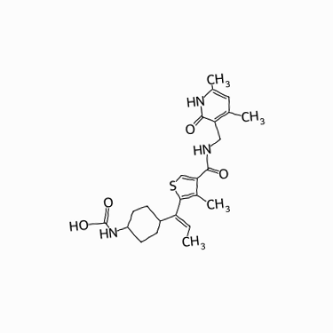 CC=C(c1scc(C(=O)NCc2c(C)cc(C)[nH]c2=O)c1C)C1CCC(NC(=O)O)CC1